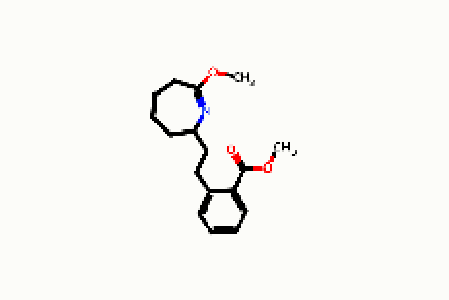 COC(=O)c1ccccc1CCC1CCCCC(OC)=N1